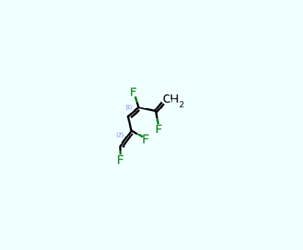 C=C(F)/C(F)=C\C(F)=C\F